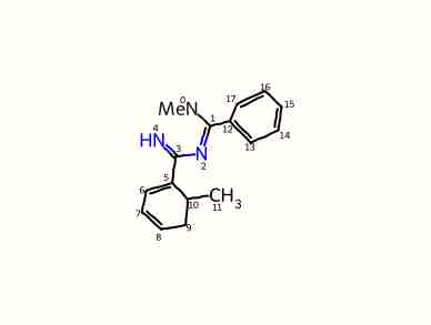 CN/C(=N\C(=N)C1=CC=CCC1C)c1ccccc1